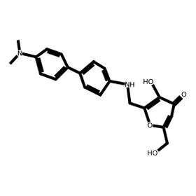 CN(C)c1ccc(-c2ccc(NCc3oc(CO)cc(=O)c3O)cc2)cc1